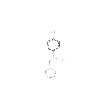 NC(CN1CCCC1)c1ccc(Cl)c(Cl)c1